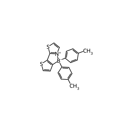 Cc1ccc([B-]2(c3ccc(C)cc3)c3ccsc3-c3scc[n+]32)cc1